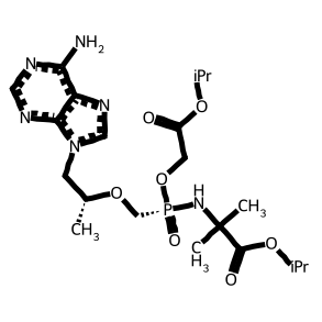 CC(C)OC(=O)CO[P@@](=O)(CO[C@H](C)Cn1cnc2c(N)ncnc21)NC(C)(C)C(=O)OC(C)C